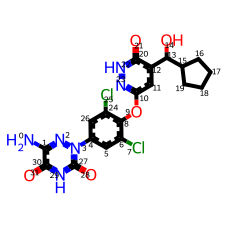 Nc1nn(-c2cc(Cl)c(Oc3cc(C(O)C4CCCC4)c(=O)[nH]n3)c(Cl)c2)c(=O)[nH]c1=O